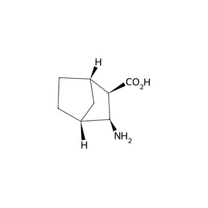 N[C@H]1[C@@H]2CC[C@@H](C2)[C@H]1C(=O)O